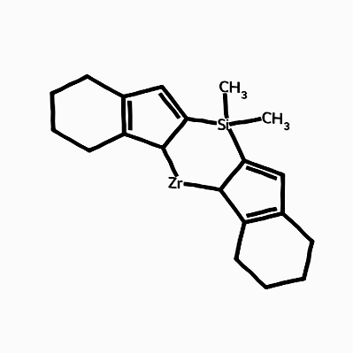 C[Si]1(C)C2=CC3=C(CCCC3)[CH]2[Zr][CH]2C1=CC1=C2CCCC1